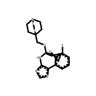 Fc1cccc(-c2scnc2NC(OCC23CCN(CC2)CC3)=C2CC2)c1F